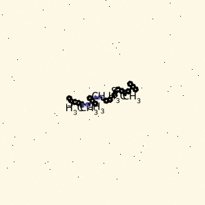 C/C(=C\C=C/Cc1ccc2ccc(-c3ccc4c(c3)sc3ccc5cc6c(cc5c34)C(C)(C)c3ccc(-c4c5ccccc5cc5ccccc45)cc3-6)cc2c1)c1c2ccccc2c(/C(C)=C/C=C2\Cc3cc4cc5c(cc4cc3C2(C)C)sc2ccccc25)c2ccccc12